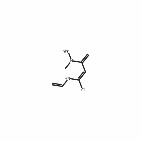 C=CN/C(Cl)=C\C(=C)N(C)CCC